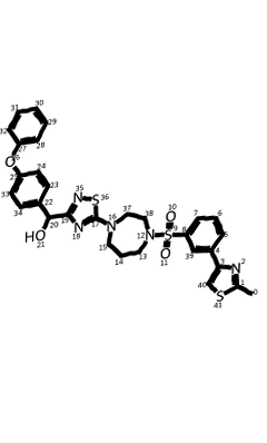 Cc1nc(-c2cccc(S(=O)(=O)N3CCCN(c4nc(C(O)c5ccc(Oc6ccccc6)cc5)ns4)CC3)c2)cs1